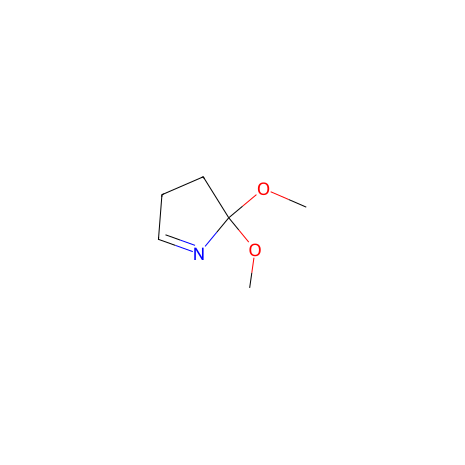 COC1(OC)CCC=N1